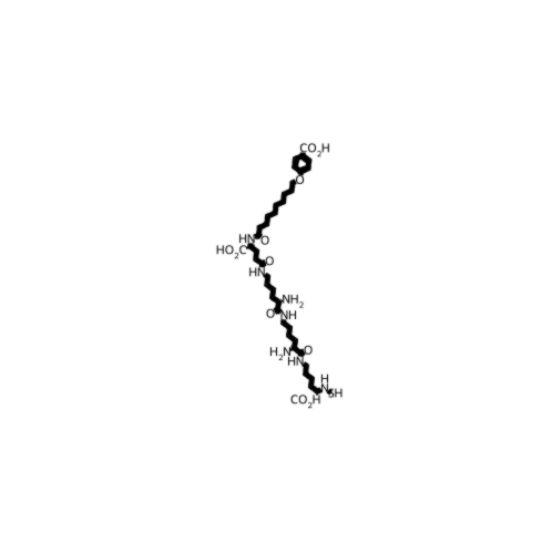 N[C@@H](CCCCNC(=O)CC[C@H](NC(=O)CCCCCCCCCOc1ccc(C(=O)O)cc1)C(=O)O)C(=O)NCCCC[C@H](N)C(=O)NCCCC[C@H](NS)C(=O)O